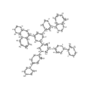 c1ccc(-c2ccc(-c3nc(-c4cc(-c5cc(-c6cccc7ncccc67)ccn5)cc(-c5cc6ccccc6c6ccccc56)c4)nc(-c4ccc(-c5ccccn5)cn4)n3)nc2)nc1